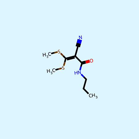 CCCNC(=O)C(C#N)=C(SC)SC